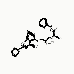 CCC(NCC(O)COc1cccc2oc(-c3ccccc3)cc(=O)c12)C(=O)OCc1ccccc1